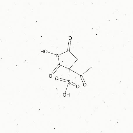 CC(=O)C1(S(=O)(=O)O)CC(=O)N(O)C1=O